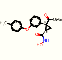 COC(=O)[C@]1(c2cccc(Oc3ccc(C)cc3)c2)C[C@H]1C(=O)NO